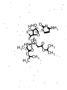 CC(C)OC(=O)CNP(=S)(N[C@@H](C)C(=O)OC(C)C)OC[C@@]1(C(F)F)O[C@@H](n2ccc(N)nc2=O)[C@@H](O)[C@@H]1O